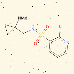 CNC1(CNS(=O)(=O)c2cccnc2Cl)CC1